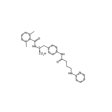 Cc1cccc(C)c1C(=O)N[C@@H](Cc1ccc(NC(=O)CCCNc2ccccn2)cc1)C(=O)O